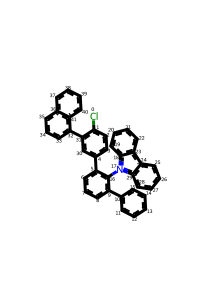 Clc1ccc(-c2cccc(-c3ccccc3)c2-n2c3ccccc3c3ccccc32)cc1-c1cccc2ccccc12